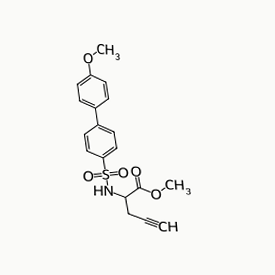 C#CCC(NS(=O)(=O)c1ccc(-c2ccc(OC)cc2)cc1)C(=O)OC